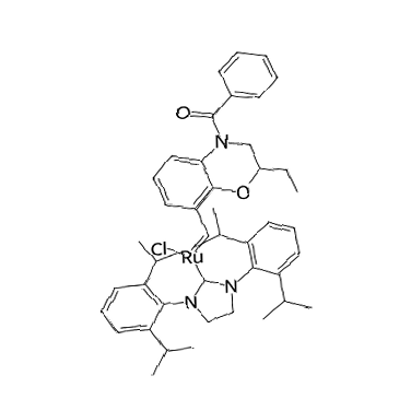 CCC1CN(C(=O)c2ccccc2)c2cccc([CH]=[Ru]([Cl])[CH]3N(c4c(C(C)C)cccc4C(C)C)CCN3c3c(C(C)C)cccc3C(C)C)c2O1